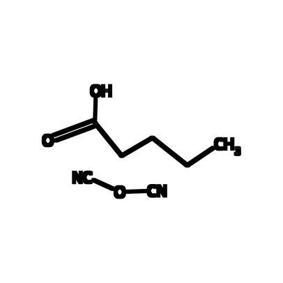 CCCCC(=O)O.N#COC#N